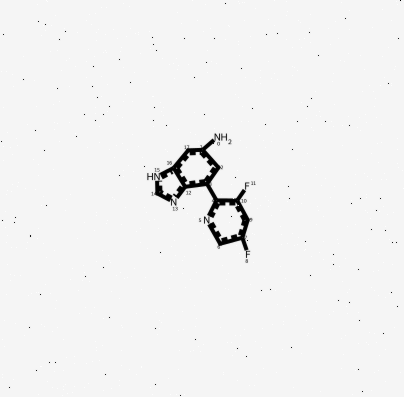 Nc1cc(-c2ncc(F)cc2F)c2nc[nH]c2c1